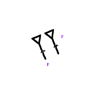 [CH3][Al+][CH]1CC1.[CH3][Al+][CH]1CC1.[I-].[I-]